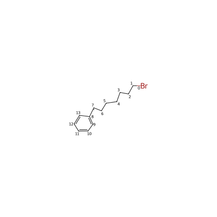 BrCCCCCC[CH]c1ccccc1